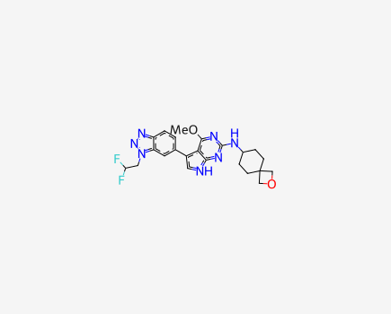 COc1nc(NC2CCC3(CC2)COC3)nc2[nH]cc(-c3ccc4nnn(CC(F)F)c4c3)c12